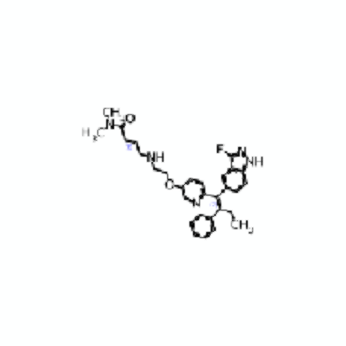 CC/C(=C(\c1ccc2[nH]nc(F)c2c1)c1ccc(OCCNC/C=C/C(=O)N(C)C)cn1)c1ccccc1